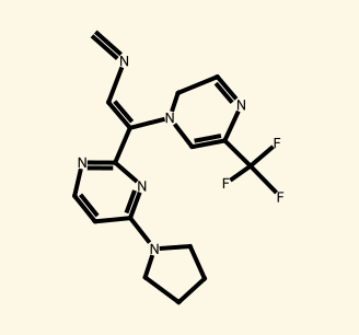 C=N/C=C(/c1nccc(N2CCCC2)n1)N1C=C(C(F)(F)F)N=CC1